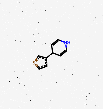 C1=CC(c2ccsc2)C=CN1